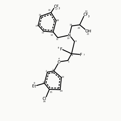 CCc1cc(OCC(F)(F)CN(Cc2cccc(C(F)(F)F)c2)CC(O)C(F)(F)F)ccc1Cl